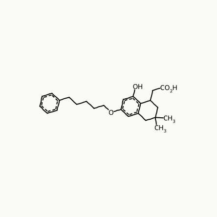 CC1(C)Cc2cc(OCCCCCc3ccccc3)cc(O)c2C(CC(=O)O)C1